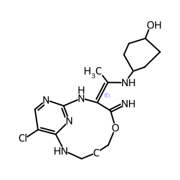 C/C(NC1CCC(O)CC1)=C1\Nc2ncc(Cl)c(n2)NCCCOC1=N